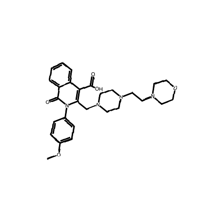 COc1ccc(-n2c(CN3CCN(CCN4CCOCC4)CC3)c(C(=O)O)c3ccccc3c2=O)cc1